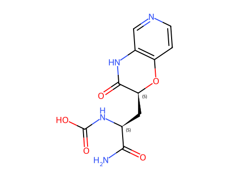 NC(=O)[C@H](C[C@@H]1Oc2ccncc2NC1=O)NC(=O)O